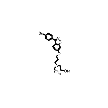 CCN(CCO)CCCOc1ccc2c(-c3ccc(Br)cc3)nsc2c1